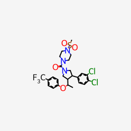 CC(Oc1ccc(C(F)(F)F)cc1)C1CN(C(=O)N2CCN(S(C)(=O)=O)CC2)CC1c1ccc(Cl)c(Cl)c1